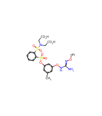 CCCON=C(N)NOc1cc(C)cc(OS(=O)(=O)c2ccccc2S(=O)(=O)N(CC(=O)O)CC(=O)O)c1